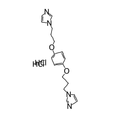 Cl.Cl.c1cn(CCCOc2ccc(OCCCn3ccnc3)cc2)cn1